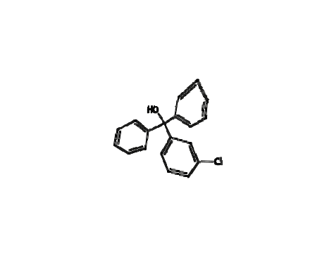 OC(c1ccccc1)(c1ccccc1)c1cccc(Cl)c1